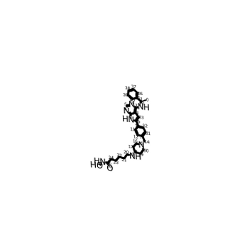 C[C@@H](Nc1ncnc2[nH]c(-c3ccc(CN4CCC(NCCCCCC(=O)NO)CC4)cc3)cc12)c1ccccc1